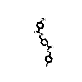 O=C(NCC1CCN(C(=O)OCc2ccc(F)cc2)CC1)c1ccc(O)cc1